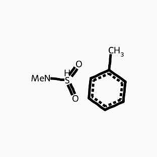 CN[SH](=O)=O.Cc1ccccc1